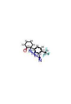 N#Cc1cc(C2(N=[N+]=[N-])CCCCC2=O)ccc1C(F)(F)F